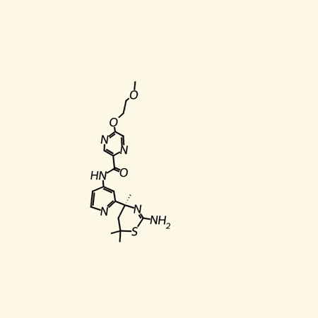 COCCOc1cnc(C(=O)Nc2ccnc([C@]3(C)CC(C)(C)SC(N)=N3)c2)cn1